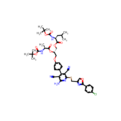 CC(C)C[C@H](NC(=O)OC(C)(C)C)C(=O)OC[C@H](COc1ccc(-c2c(C#N)c(N)nc(SCc3coc(-c4ccc(Cl)cc4)n3)c2C#N)cc1)OC(=O)[C@H](C)NC(=O)OC(C)(C)C